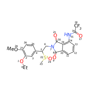 CCOc1cc(C(CN2C(=O)c3cccc(NC(=O)C(F)(F)F)c3C2=O)[S+](C)[O-])ccc1OC